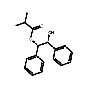 CC(C)C(=O)O[C@H](c1ccccc1)[C@@H](O)c1ccccc1